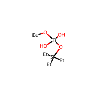 CCC(C)[O][Ti]([OH])([OH])[O][Si](CC)(CC)CC